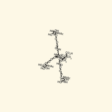 CC(=O)N[C@H]1C(OCCOCCOCCOCC(=O)NCCCCC(NC(=O)COCCOCCOCCO[C@@H]2OC(CO)C(O)C(O)[C@H]2NC(C)=O)C(=O)N[C@@H](CCCCNC(=O)COCCOCCOCCOC2OC(CO)[C@H](O)C(O)[C@H]2NC(C)=O)C(=O)NC(C)(C)CCOC(C)(C)CCC(=O)O)OC(CO)C(O)C1O